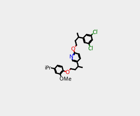 COc1cc(C(C)C)ccc1OCCC(C)c1ccc(OCCC(C)c2cc(Cl)cc(Cl)c2)nc1